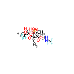 CCC(C)(CC(C)(CC(C)S(=O)(=O)O)C(=O)OCCNCC(F)(F)F)C(=O)OC(C)CC(C)(O)C(F)(F)F